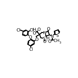 CC(=O)N(c1cccs1)C1C(=O)N2CC(COc3cc(Cl)ccc3Oc3ccc(Cl)cc3Cl)(C(=O)O)C[S+]([O-])[C@H]12